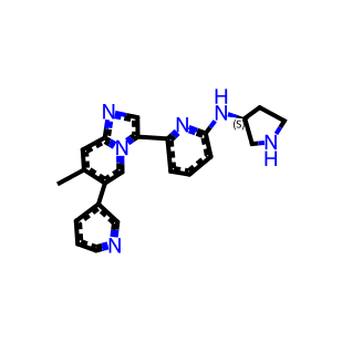 Cc1cc2ncc(-c3cccc(N[C@H]4CCNC4)n3)n2cc1-c1cccnc1